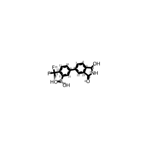 O=C1NC(O)c2ccc(-c3ccc(C(F)(F)F)c(B(O)O)c3)cc21